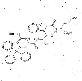 CSCC[C@@H](NC(=O)C1Cc2ccccc2N1C(=O)[C@@H](NC(=O)[C@H](CSC(c1ccccc1)(c1ccccc1)c1ccccc1)NC(=O)OC(C)(C)C)C(C)C)C(=O)O